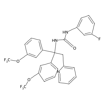 O=C(Nc1cccc(F)c1)NC(Cc1ccccn1)(c1cccc(OC(F)(F)F)c1)c1cccc(OC(F)(F)F)c1